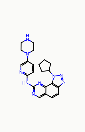 c1cc(Nc2ncc3ccc4nnn(C5CCCC5)c4c3n2)ncc1N1CCNCC1